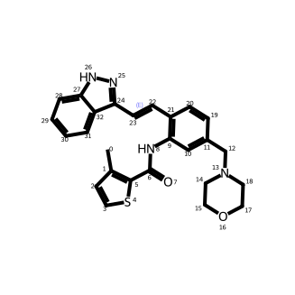 Cc1ccsc1C(=O)Nc1cc(CN2CCOCC2)ccc1/C=C/c1n[nH]c2ccccc12